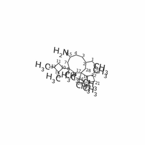 CCC1CCC(N)CC(C)(C2CC(C)C2C)CC(C2C(C)C[C@H]2C)(C(C)(C)C)C1